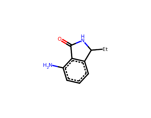 CCC1NC(=O)c2c(N)cccc21